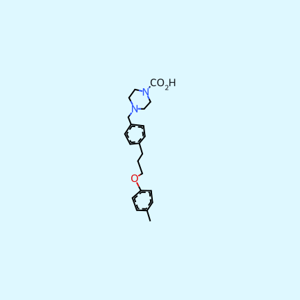 Cc1ccc(OCCCc2ccc(CN3CCN(C(=O)O)CC3)cc2)cc1